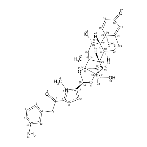 Cn1c(C(=O)Cc2cccc(N)c2)ccc1[C@@H]1O[C@@H]2C[C@H]3[C@@H]4CCC5=CC(=O)C=C[C@]5(C)[C@H]4[C@@H](O)C[C@]3(C)[C@]2(C(=O)CO)O1